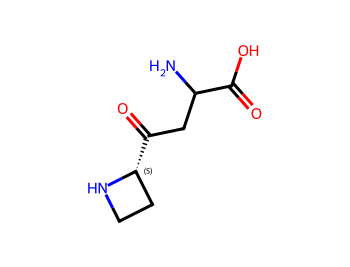 NC(CC(=O)[C@@H]1CCN1)C(=O)O